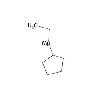 C[CH2][Mg][CH]1CCCC1